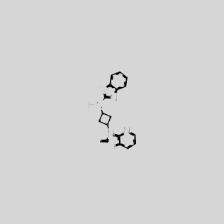 O=c1oc2cccnc2n1C1CC(Nc2nc3ccccc3s2)C1